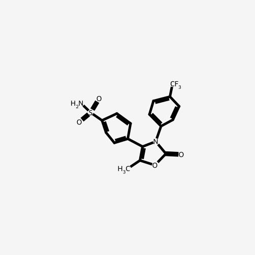 Cc1oc(=O)n(-c2ccc(C(F)(F)F)cc2)c1-c1ccc(S(N)(=O)=O)cc1